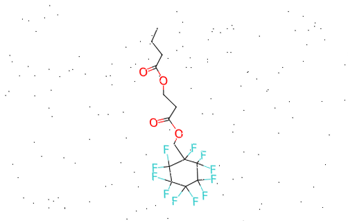 CCCC(=O)OCCC(=O)OCC1(F)C(F)(F)C(F)(F)C(F)(F)C(F)(F)C1(F)F